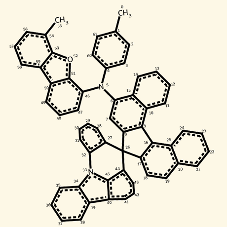 Cc1ccc(N(c2cc3c(c4ccccc24)-c2c(ccc4ccccc24)C32c3ccccc3-n3c4ccccc4c4cccc2c43)c2cccc3c2oc2c(C)cccc23)cc1